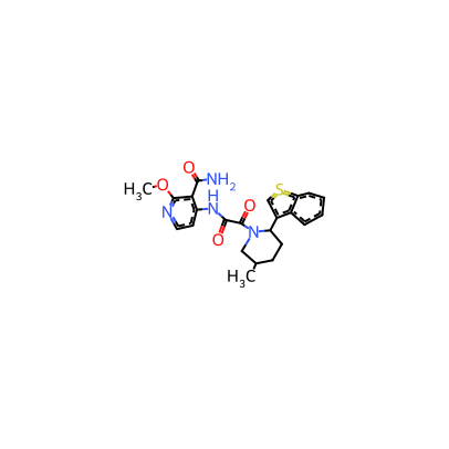 COc1nccc(NC(=O)C(=O)N2CC(C)CCC2c2csc3ccccc23)c1C(N)=O